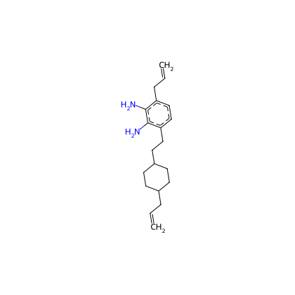 C=CCc1ccc(CCC2CCC(CC=C)CC2)c(N)c1N